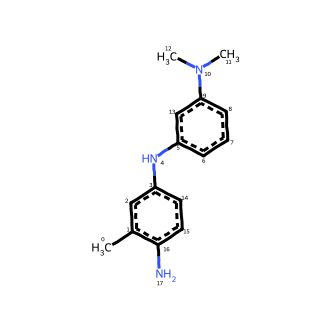 Cc1cc(Nc2cccc(N(C)C)c2)ccc1N